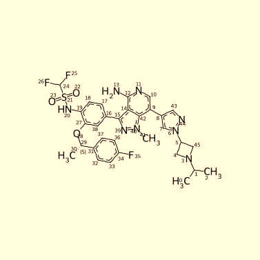 CC(C)N1CC(n2cc(-c3cnc(N)c4c(-c5ccc(NS(=O)(=O)C(F)F)c(O[C@@H](C)c6ccc(F)cc6)c5)nn(C)c34)cn2)C1